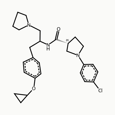 O=C(NC(Cc1ccc(OC2CC2)cc1)CN1CCCC1)[C@@H]1CCN(c2ccc(Cl)cc2)C1